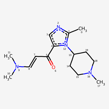 Cc1ncc(C(=O)C=CN(C)C)n1C1CCN(C)CC1